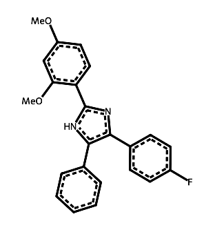 COc1ccc(-c2nc(-c3ccc(F)cc3)c(-c3ccccc3)[nH]2)c(OC)c1